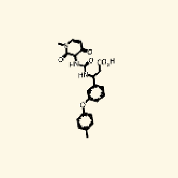 Cc1ccc(Oc2cccc(C(CC(=O)O)NC(=O)NC3C(=O)C=CN(C)C3=O)c2)cc1